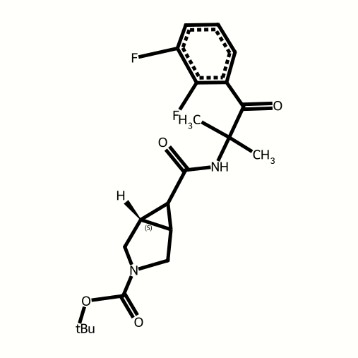 CC(C)(C)OC(=O)N1CC2C(C(=O)NC(C)(C)C(=O)c3cccc(F)c3F)[C@H]2C1